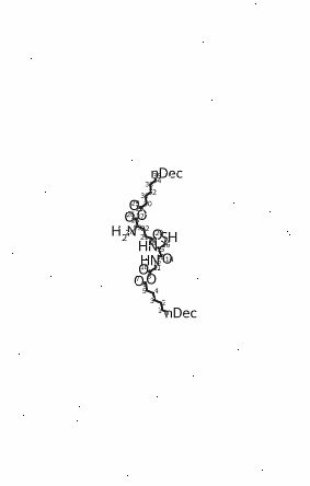 CCCCCCCCCCCCCCCC(=O)OC(=O)CNC(=O)C(CS)NC(=O)CCC(N)C(=O)OC(=O)CCCCCCCCCCCCCCC